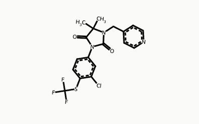 CC1(C)C(=O)N(c2ccc(SC(F)(F)F)c(Cl)c2)C(=O)N1Cc1ccncc1